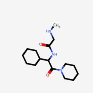 CNCC(=O)NC(C(=O)N1CCCCC1)C1CCCCC1